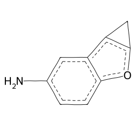 Nc1ccc2oc3c(c2c1)C3